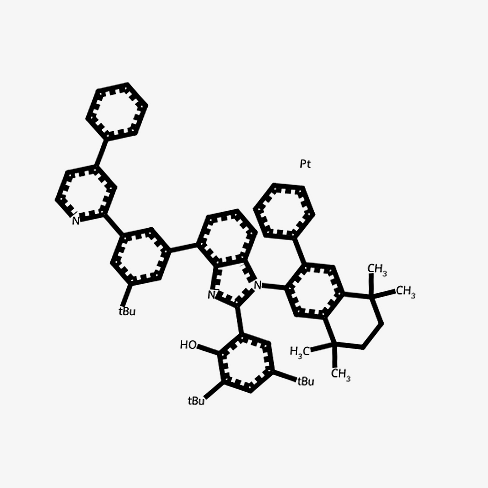 CC(C)(C)c1cc(-c2cc(-c3ccccc3)ccn2)cc(-c2cccc3c2nc(-c2cc(C(C)(C)C)cc(C(C)(C)C)c2O)n3-c2cc3c(cc2-c2ccccc2)C(C)(C)CCC3(C)C)c1.[Pt]